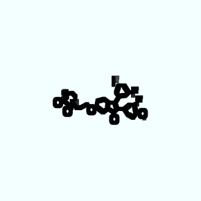 COc1ccc(C2=C(c3cc(F)cc(F)c3)c3ccc(OCCN4CCSC(=O)C4=O)cc3C2=O)cc1F